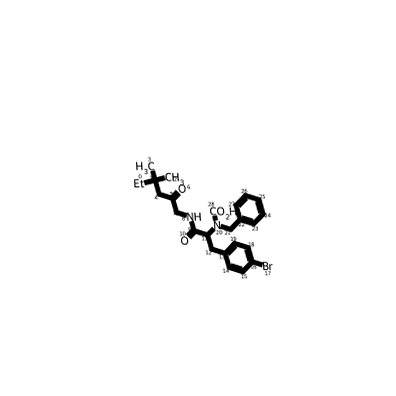 CCC(C)(C)CC(=O)CNC(=O)C(Cc1ccc(Br)cc1)N(Cc1ccccc1)C(=O)O